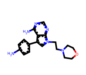 Nc1ccc(-c2cn(CCN3CCOCC3)c3ncnc(N)c23)cc1